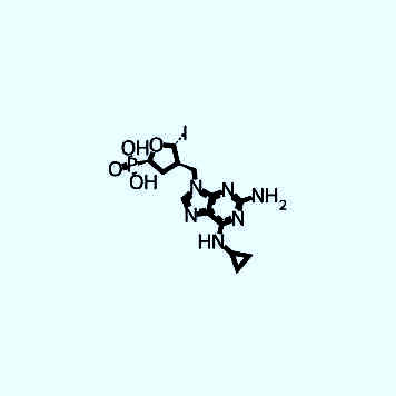 Nc1nc(NC2CC2)c2ncn(C[C@H]3C[C@@H](P(=O)(O)O)O[C@@H]3I)c2n1